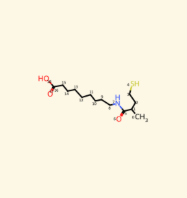 CC(CCS)C(=O)NCCCCCCCCC(=O)O